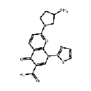 NC1CCN(c2ccc3c(=O)c(C(=O)O)cn(-c4nccs4)c3n2)C1